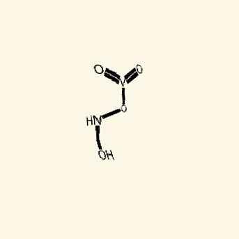 [O]=[V](=[O])[O]NO